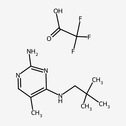 Cc1cnc(N)nc1NCC(C)(C)C.O=C(O)C(F)(F)F